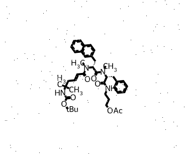 CC(=O)OCCCNC(=O)[C@@H](Cc1ccccc1)N(C)C(=O)[C@@H](Cc1ccc2ccccc2c1)N(C)C(=O)C=CCC(C)(C)NC(=O)OC(C)(C)C